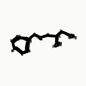 CCC(O)COCc1ccccc1